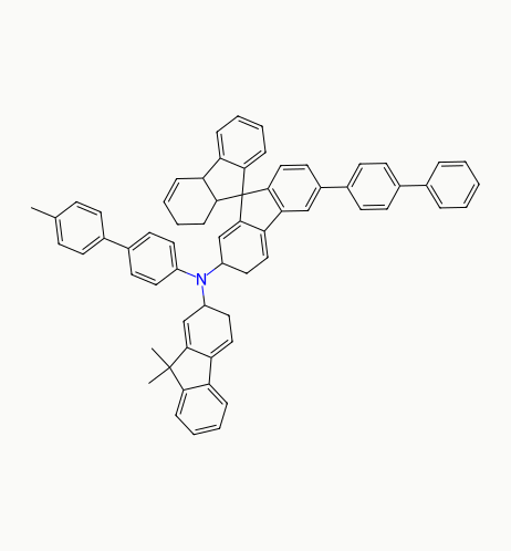 Cc1ccc(-c2ccc(N(C3C=C4C(=CC3)c3ccccc3C4(C)C)C3C=C4C(=CC3)c3cc(-c5ccc(-c6ccccc6)cc5)ccc3C43c4ccccc4C4C=CCCC43)cc2)cc1